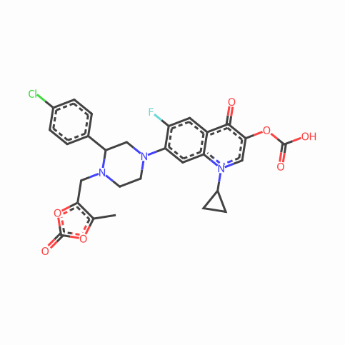 Cc1oc(=O)oc1CN1CCN(c2cc3c(cc2F)c(=O)c(OC(=O)O)cn3C2CC2)CC1c1ccc(Cl)cc1